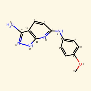 COc1ccc(Nc2ccc3c(N)n[nH]c3n2)cc1